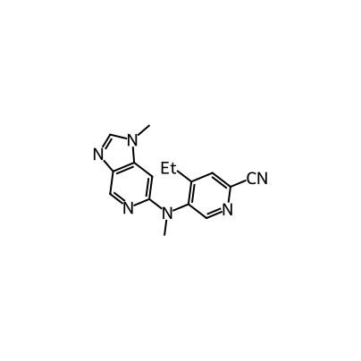 CCc1cc(C#N)ncc1N(C)c1cc2c(cn1)ncn2C